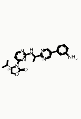 CC(Nc1nccc(N2C(=O)OC[C@@H]2C(C)C)n1)c1ncc(-c2cccc(N)c2)cn1